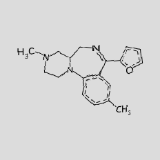 Cc1ccc2c(c1)C(c1ccco1)=NCC1CN(C)CCN21